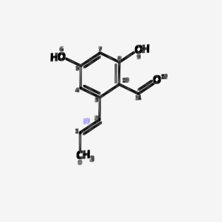 C/C=C/c1cc(O)cc(O)c1C=O